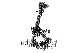 COC(=O)C(CCCCNC(=O)CCCc1ccc(I)cc1)NC(=O)C(CCC(=O)NCCCCCC(=O)N[C@@H](CCC(=O)N[C@@H](CCCOP(=O)(O)NC(CCC(=O)O)C(=O)O)C(=O)O)C(=O)O)NC(=O)CCOCCOCCOCCOCCNC(=O)CCC(=O)N1Cc2ccccc2C#Cc2ccccc21